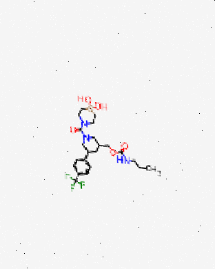 CCCNC(=O)OCC1CC(c2ccc(C(F)(F)F)cc2)CN(C(=O)N2CCS(O)(O)CC2)C1